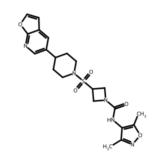 Cc1noc(C)c1NC(=O)N1CC(S(=O)(=O)N2CCC(c3cnc4occc4c3)CC2)C1